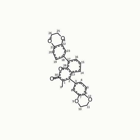 Cc1c(-c2ccc3c(c2)OCCO3)c2cccc(-c3ccc4c(c3)OCCO4)c2oc1=O